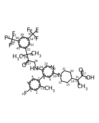 Cc1cc(F)ccc1-c1cc(N2CCC([C@H](C)C(=O)O)CC2)ncc1NCC(=O)C(C)(C)c1cc(C(F)(F)F)cc(C(F)(F)F)c1